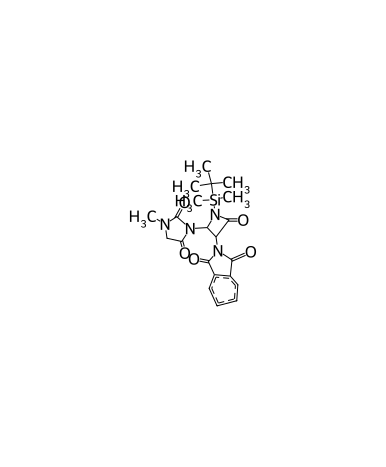 CN1CC(=O)N(C2C(N3C(=O)c4ccccc4C3=O)C(=O)N2[Si](C)(C)C(C)(C)C)C1=O